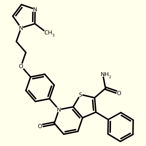 Cc1nccn1CCOc1ccc(-n2c(=O)ccc3c(-c4ccccc4)c(C(N)=O)sc32)cc1